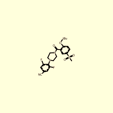 CC(C)(C)Oc1ccc(S(C)(=O)=O)cc1C(=O)N1CCN(c2c(F)cc(C#N)cc2F)CC1